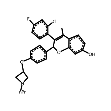 CCCN1CC(Oc2ccc(C3Oc4cc(O)ccc4C(C)=C3c3ccc(F)cc3Cl)cc2)C1